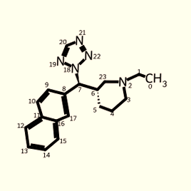 CCN1CCC[C@H]([C@@H](c2ccc3ccccc3c2)n2ncnn2)C1